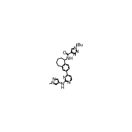 Cn1cc(Nc2nccc(-c3ccc4c(c3)CCCCC4NC(=O)c3cn(C(C)(C)C)nn3)n2)cn1